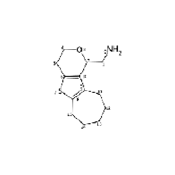 NCC1OCCc2sc3c(c21)CCCCC3